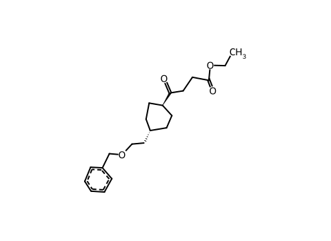 CCOC(=O)CCC(=O)[C@H]1CC[C@H](CCOCc2ccccc2)CC1